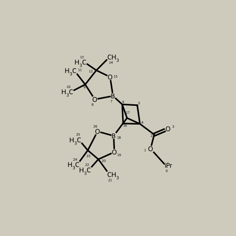 CC(C)OC(=O)C12CC(B3OC(C)(C)C(C)(C)O3)(C1)C2B1OC(C)(C)C(C)(C)O1